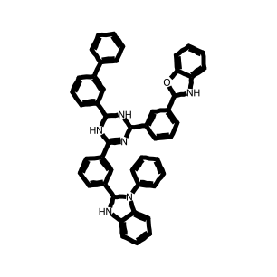 c1ccc(-c2cccc(C3NC(c4cccc(C5Nc6ccccc6N5c5ccccc5)c4)=NC(c4cccc(C5Nc6ccccc6O5)c4)N3)c2)cc1